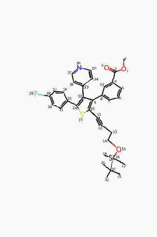 COC(=O)c1cccc(-c2c(C#CCCO[Si](C)(C)C(C)(C)C)sc(-c3ccc(F)cc3)c2-c2ccncc2)c1